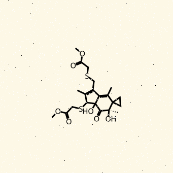 COC(=O)CSCC1=C(C)C(SCC(=O)OC)C2(O)C(=O)[C@](C)(O)C3(CC3)C(C)=C12